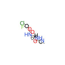 Cc1ccc(C(=O)N[C@@H]2CC(NC(=O)COc3ccc(Cl)c(F)c3)C3CC2C3)cn1